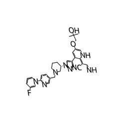 CC(C)(O)COC1=CN/C(=C(/C#N)C=N)C(c2cnn([C@H]3CCCN(Cc4ccc(N5C=C=CC(F)=C5)nc4)C3)c2)=C1